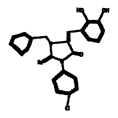 O=C1C(=Cc2cccc(O)c2O)N(Cc2ccccc2)C(=[Se])N1c1ccc(Cl)cc1